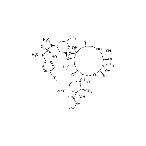 CCCNC[C@]1(O)[C@H](C)O[C@@H](O[C@H]2[C@H](C)[C@@H](O[C@@H]3O[C@H](C)C[C@H](N(C)S(=O)(=O)N(C)c4ccc(C(F)(F)F)cc4)[C@H]3O)[C@](C)(O)C[C@@H](C)CN[C@H](C)[C@@H](O)[C@](C)(O)[C@@H](CC)OC(=O)[C@@H]2C)C[C@@]1(C)OC